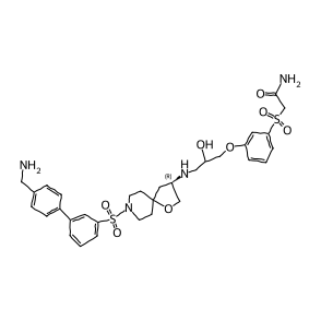 NCc1ccc(-c2cccc(S(=O)(=O)N3CCC4(CC3)C[C@@H](NCC(O)COc3cccc(S(=O)(=O)CC(N)=O)c3)CO4)c2)cc1